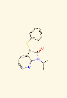 CC(C)N1C(=O)C(Sc2ccccc2)c2cccnc21